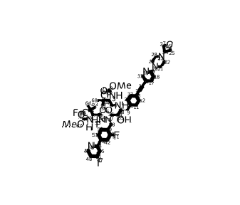 COC(=O)N[C@H](C(=O)N[C@@H](Cc1ccc(C#Cc2ccc(N3CCN(C4COC4)CC3)nc2)cc1)[C@@H](O)CN(Cc1c(F)cc(-c2cc(F)ccn2)cc1F)NC(=O)[C@@H](NC(=O)OC)C(C)(C)C(F)(F)F)C(C)(C)C(F)(F)F